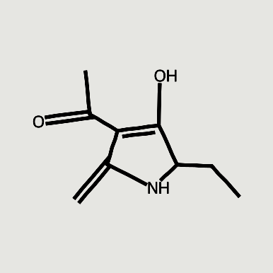 C=C1NC(CC)C(O)=C1C(C)=O